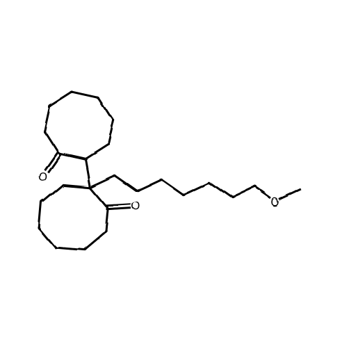 COCCCCCCCC1(C2CCCCCCC2=O)CCCCCCC1=O